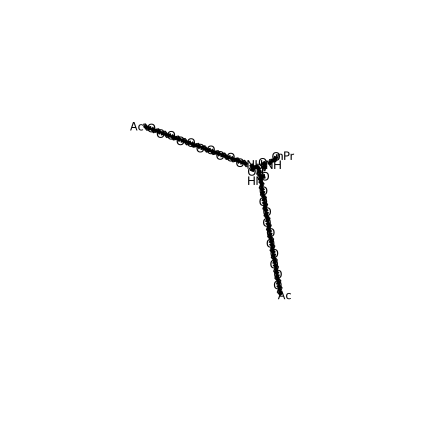 CCCOCCNC(=O)CN(CC(=O)NCCOCCOCCOCCOCCOCCOCCOCCOCCOCCOCCC(C)=O)CC(=O)NCCOCCOCCOCCOCCOCCOCCOCCOCCOCCOCCC(C)=O